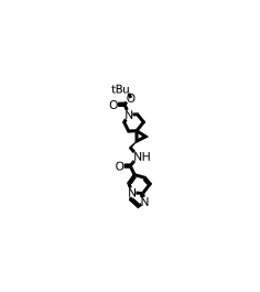 CC(C)(C)OC(=O)N1CCC2(CC1)C[C@H]2CNC(=O)c1ccc2nccn2c1